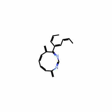 C=c1ccccc(=C)c(C(/C=C\C)=C/C=C\C)ncn1